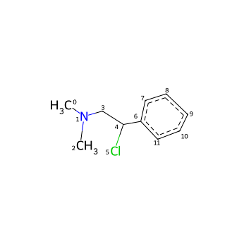 CN(C)CC(Cl)c1ccccc1